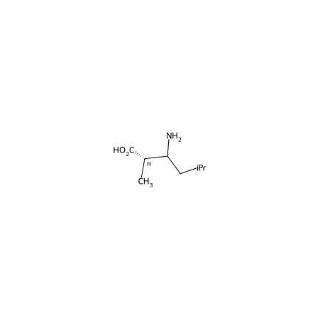 CC(C)CC(N)[C@H](C)C(=O)O